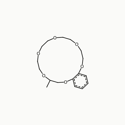 CC1COc2ccccc2OCCOCCOCCOCCO1